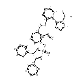 CC(C)n1nccc1-c1ncccc1COc1cccc(OP(=O)(OCc2ccccc2)OCc2ccccc2)c1C=O